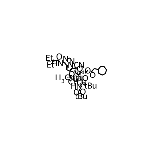 CCC(CC)C(=O)Nc1ncnn2c([C@]3(C#N)O[C@H](COC(=O)CC4CCCCCC4)[C@@H](OC(=O)[C@@H](NC(=O)OC(C)(C)C)C(C)(C)C)[C@H]3O[Si](C)(C)C)ccc12